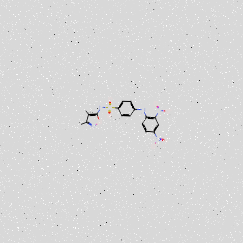 Cc1noc(NS(=O)(=O)c2ccc(Nc3ccc([N+](=O)[O-])cc3[N+](=O)[O-])cc2)c1C